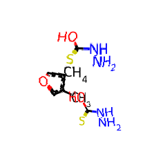 C.Cc1ccoc1.NNC(O)=S.NNC(O)=S